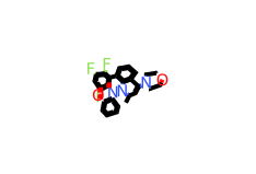 CC1C=C(N2CCOCC2)c2cccc(-c3cc(F)cc(F)c3F)c2N1N1CCOc2ccccc21